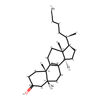 CC(C)CCC[C@@H](C)[C@H]1CC[C@H]2C3=C(CC[C@]12C)[C@@]1(C)CCC(=O)C[C@@]1(C#N)CC3